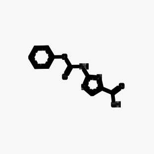 O=C(Nc1nc(C(=O)O)cs1)Oc1ccccc1